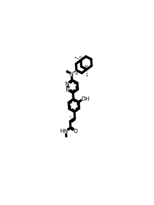 CNC(=O)/C=C/c1ccc(-c2ccc(N(C)[C@H]3C[C@]4(C)CCC[C@](C)(C3)C4)nn2)c(O)c1